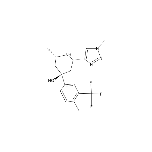 Cc1ccc([C@@]2(O)C[C@@H](c3cn(C)nn3)N[C@@H](C)C2)cc1C(F)(F)F